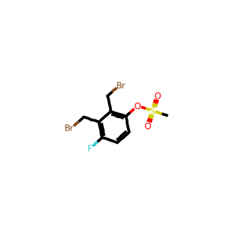 CS(=O)(=O)Oc1ccc(F)c(CBr)c1CBr